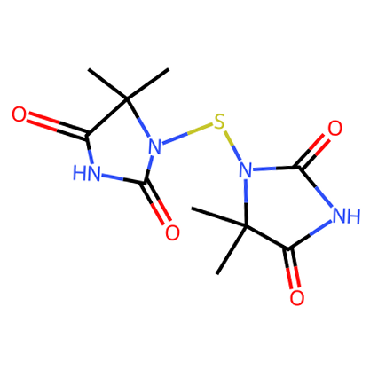 CC1(C)C(=O)NC(=O)N1SN1C(=O)NC(=O)C1(C)C